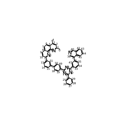 Cc1cc(C)c2ccc3ccc(-c4cccc(-c5ccc(-c6nc(-c7ccccc7)nc(-c7cccc(-c8cncc9ccccc89)c7)n6)cc5)c4)nc3c2n1